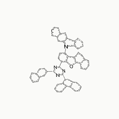 c1ccc2cc(-c3nc(-c4cc5ccccc5c5ccccc45)nc(-c4ccc(-n5c6ccccc6c6cc7ccccc7cc65)c5c4oc4c6ccccc6ccc45)n3)ccc2c1